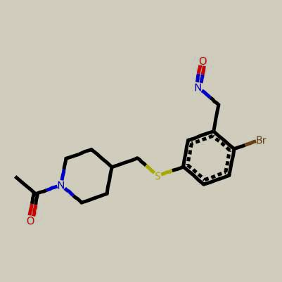 CC(=O)N1CCC(CSc2ccc(Br)c(CN=O)c2)CC1